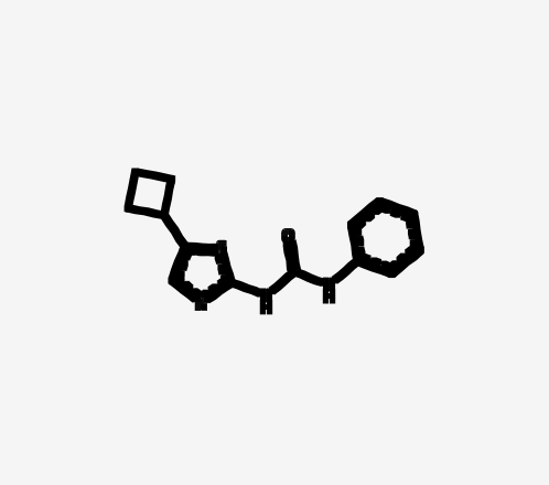 O=C(Nc1ccccc1)Nc1ncc(C2CCC2)s1